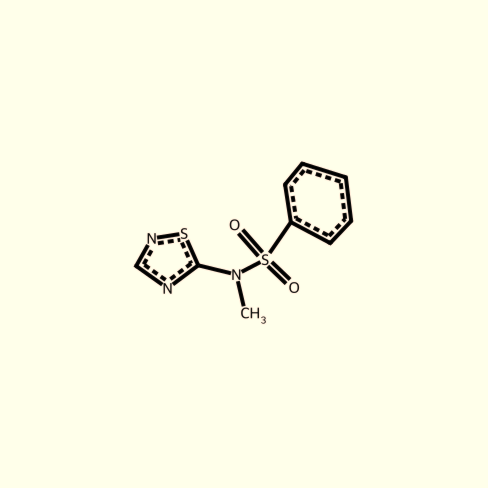 CN(c1ncns1)S(=O)(=O)c1ccccc1